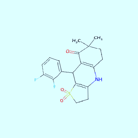 CC1(C)CCC2=C(C1=O)C(c1cccc(F)c1F)C1=C(CCS1(=O)=O)N2